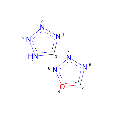 c1nnn[nH]1.c1nnno1